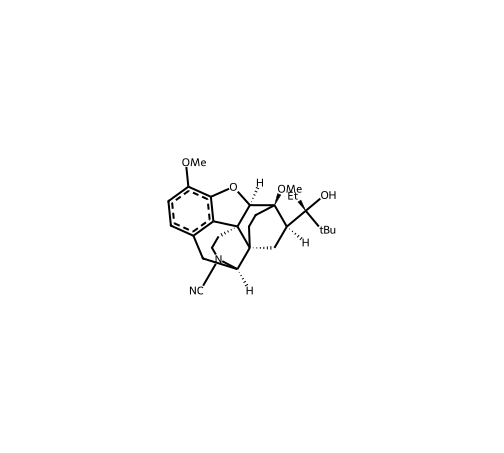 CC[C@](O)([C@H]1C[C@@]23CC[C@]1(OC)[C@@H]1Oc4c(OC)ccc5c4[C@@]12CCN(C#N)[C@@H]3C5)C(C)(C)C